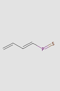 C=CC=CP=S